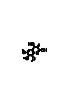 C=C(C(=O)O)C(O)c1cc(OC)c(OC)c(OC)c1